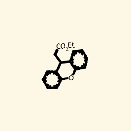 CCOC(=O)CC1c2ccccc2Oc2ccccc21